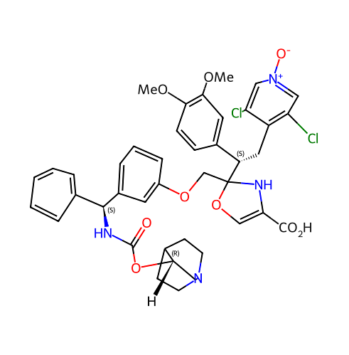 COc1ccc([C@H](Cc2c(Cl)c[n+]([O-])cc2Cl)C2(COc3cccc([C@@H](NC(=O)O[C@H]4CN5CCC4CC5)c4ccccc4)c3)NC(C(=O)O)=CO2)cc1OC